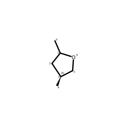 CC1C[C@H](C)CO1